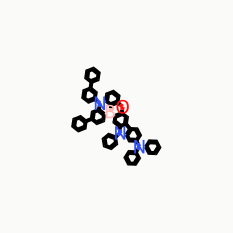 c1ccc(-c2cccc(N3c4cc(-c5ccccc5)ccc4B4c5cc6c(cc5Oc5cccc3c54)c3ccc(N(c4ccccc4)c4ccccc4)cc3n6-c3ccccc3)c2)cc1